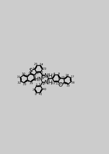 c1ccc(C2NC(c3ccc4c(c3)oc3ccccc34)NC(c3cccc4sc5c6ccccc6ccc5c34)N2)cc1